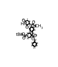 Cn1c(=O)n(C2CCC(=O)NC2=O)c2ccc(CC3(C(=O)OCc4ccccc4)CCN(C(=O)OC(C)(C)C)CC3)cc21